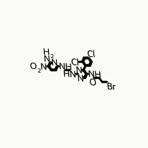 Nc1nc(NCCNc2ncc(NC(=O)CCCBr)c(-c3ccc(Cl)cc3Cl)n2)ccc1[N+](=O)[O-]